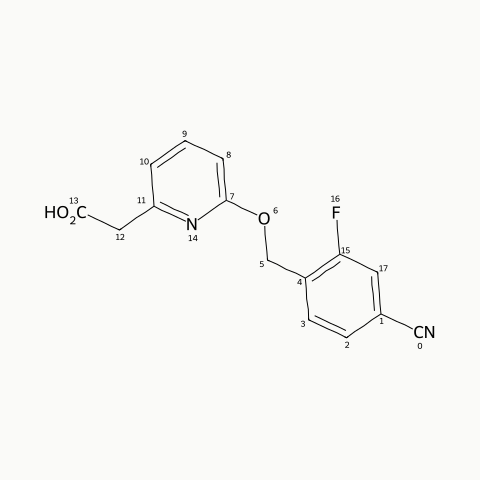 N#Cc1ccc(COc2cccc(CC(=O)O)n2)c(F)c1